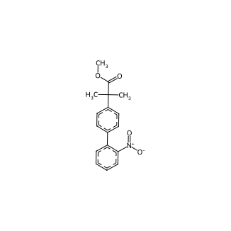 COC(=O)C(C)(C)c1ccc(-c2ccccc2[N+](=O)[O-])cc1